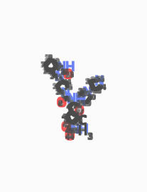 Cc1cc(CC(NC(=O)N2CCC(N3Cc4ccccc4NC3=O)CC2)C(=O)N2CCN(c3ccncc3)CC2)cc2oc(=O)[nH]c12